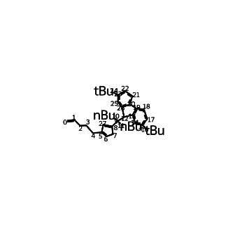 C=CCCCC1=CCC(C(CCCC)(CCCC)C2c3cc(C(C)(C)C)ccc3-c3ccc(C(C)(C)C)cc32)=C1